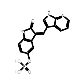 O=C1Nc2ccc(OP(=O)(O)O)cc2C1=Cc1c[nH]c2ncccc12